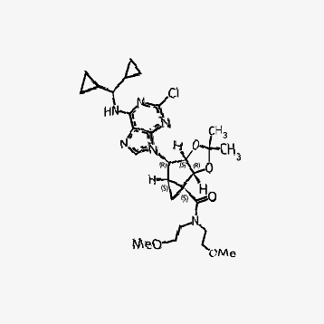 COCCN(CCOC)C(=O)[C@@]12C[C@@H]1[C@@H](n1cnc3c(NC(C4CC4)C4CC4)nc(Cl)nc31)[C@@H]1OC(C)(C)O[C@@H]12